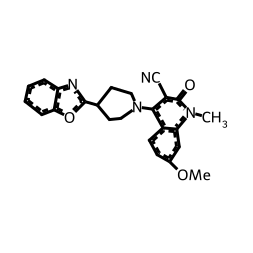 COc1ccc2c(N3CCC(c4nc5ccccc5o4)CC3)c(C#N)c(=O)n(C)c2c1